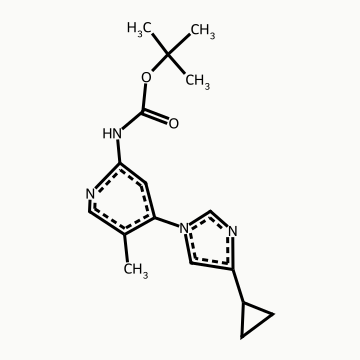 Cc1cnc(NC(=O)OC(C)(C)C)cc1-n1cnc(C2CC2)c1